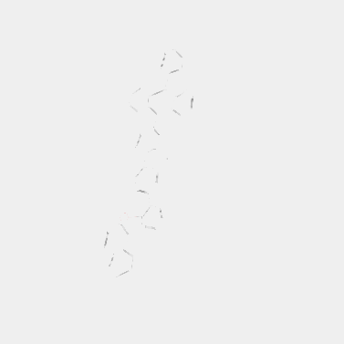 CC1(C)c2cc(-c3c4ccccc4c(-c4ccccc4)c4ccccc34)ccc2-c2ccc(-c3cccc4c3oc3ccc5ccccc5c34)cc21